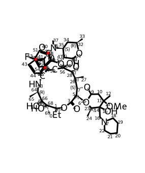 CC[C@H]1OC(=O)[C@H](C)[C@@H](OC2CC(C)(OC)C(O)(CN3CCCCC3)[C@@H](C)O2)[C@H](C)[C@@H](O[C@@H]2O[C@H](C)C[C@H](N(C)S(=O)(=O)c3ccccc3)[C@H]2Oc2ccc(F)cc2)[C@](C)(O)C[C@@H](C)CN[C@H](C)[C@@H](O)[C@]1(C)O